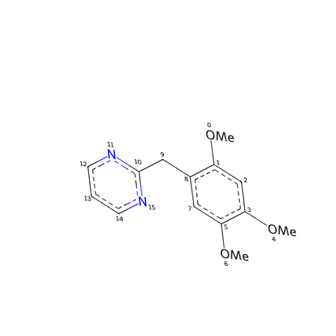 COc1cc(OC)c(OC)cc1Cc1ncccn1